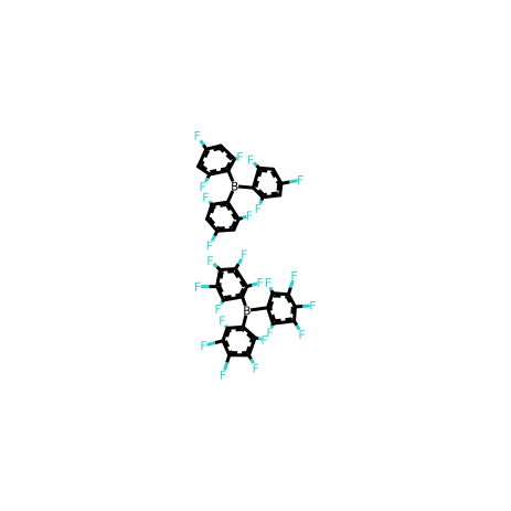 Fc1c(F)c(F)c(B(c2c(F)c(F)c(F)c(F)c2F)c2c(F)c(F)c(F)c(F)c2F)c(F)c1F.Fc1cc(F)c(B(c2c(F)cc(F)cc2F)c2c(F)cc(F)cc2F)c(F)c1